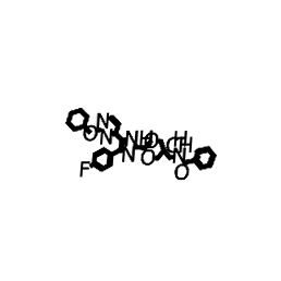 CC1(CNC(=O)c2ccccc2)COC(c2nc(-c3ccc(F)cc3)c(-c3ccnc(OC4CCCCC4)n3)[nH]2)OC1